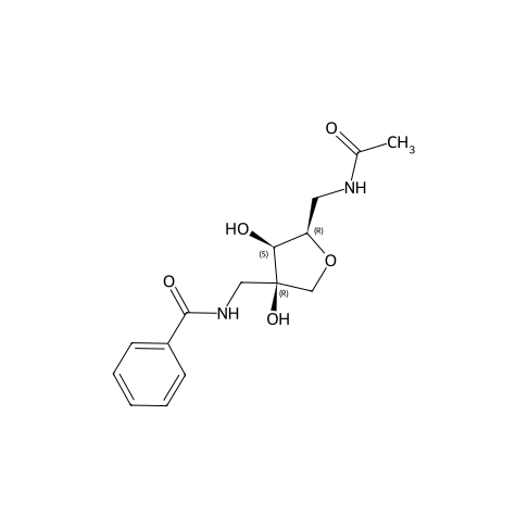 CC(=O)NC[C@H]1OC[C@](O)(CNC(=O)c2ccccc2)[C@H]1O